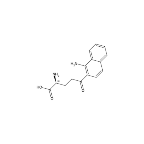 Nc1c(C(=O)CC[C@H](N)C(=O)O)ccc2ccccc12